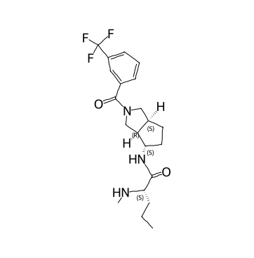 CCC[C@H](NC)C(=O)N[C@H]1CC[C@@H]2CN(C(=O)c3cccc(C(F)(F)F)c3)C[C@@H]21